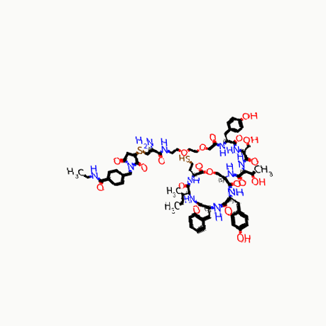 CCNC(=O)C1CCC(CN2C(=O)CC(SC[C@H](N)C(=O)NCCOCCOCC(=O)N[C@@H](Cc3ccc(O)cc3)C(=O)N[C@@H](CO)C(=O)N[C@H](C(=O)N[C@H]3COC(=O)[C@H](CCS)NC(=O)[C@H](C(C)CC)NC(=O)[C@H](Cc4ccccc4)NC(=O)[C@H](Cc4ccc(O)cc4)NC3=O)C(C)O)C2=O)CC1